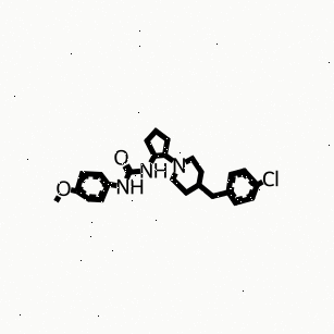 COc1ccc(NC(=O)NC2CCCC2N2CCC(Cc3ccc(Cl)cc3)CC2)cc1